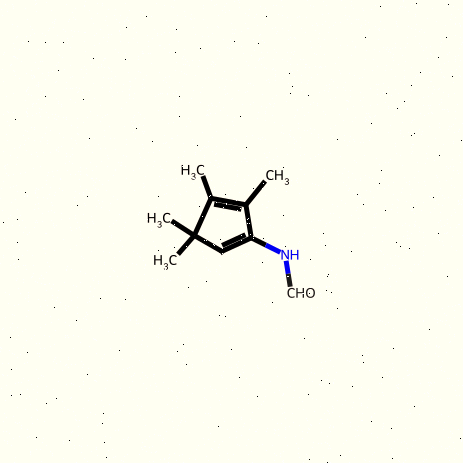 CC1=C(C)C(C)(C)[C]=C1NC=O